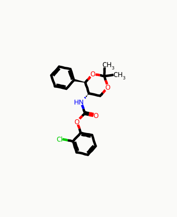 CC1(C)OC[C@H](NC(=O)Oc2ccccc2Cl)[C@@H](c2ccccc2)O1